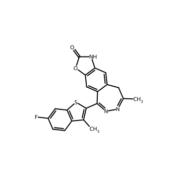 CC1=NN=C(c2sc3cc(F)ccc3c2C)c2cc3oc(=O)[nH]c3cc2C1